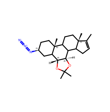 CC1=CCC2C3C(CC[C@]12C)[C@@]1(C)CC[C@H](N=[N+]=[N-])CC1[C@H]1OC(C)(C)O[C@H]31